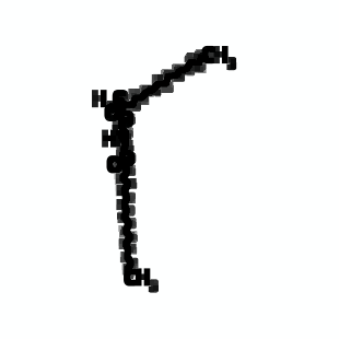 CCCCCCCCCCCCCCCCCC(=O)OCCNCCOC(=O)C(C)CCCCCCCCCCCCCCC